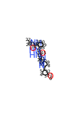 COc1cccc(-c2ccc3nc(NC(=O)Nc4ccccc4C(=O)NC(C)C)cn3n2)c1